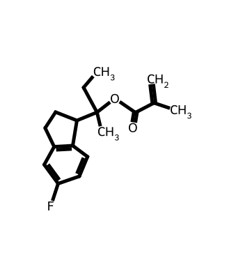 C=C(C)C(=O)OC(C)(CC)C1CCc2cc(F)ccc21